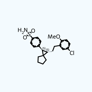 COc1ccc(Cl)cc1CC[C@H]1[C@H](c2ccc(S(N)(=O)=O)cc2)C12CCCC2